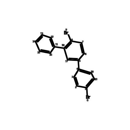 Brc1ccc(-c2ccc(Br)c(-c3ccccc3)c2)cc1